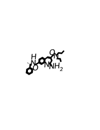 CCCN(CCC)C(=O)C1=Cc2ccc(C(=O)N[C@@H](C)c3ccccc3)cc2N=C(N)C1